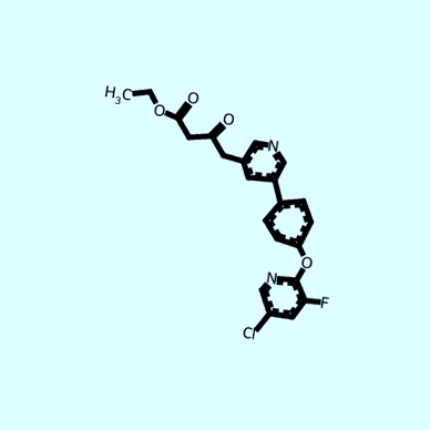 CCOC(=O)CC(=O)Cc1cncc(-c2ccc(Oc3ncc(Cl)cc3F)cc2)c1